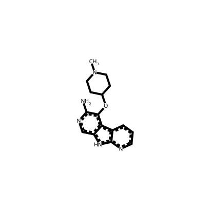 CN1CCC(Oc2c(N)ncc3[nH]c4ncccc4c23)CC1